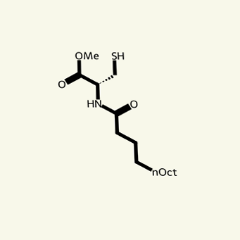 CCCCCCCCCCCC(=O)N[C@@H](CS)C(=O)OC